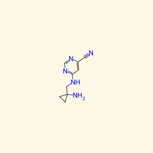 N#Cc1cc(NCC2(N)CC2)ncn1